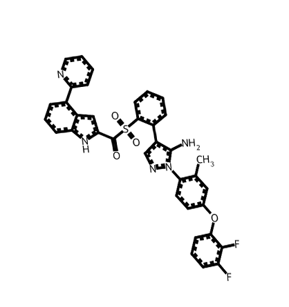 Cc1cc(Oc2cccc(F)c2F)ccc1-n1ncc(-c2ccccc2S(=O)(=O)C(=O)c2cc3c(-c4ccccn4)cccc3[nH]2)c1N